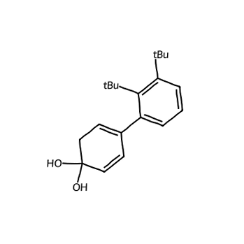 CC(C)(C)c1cccc(C2=CCC(O)(O)C=C2)c1C(C)(C)C